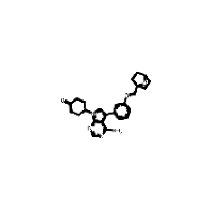 Nc1ncnc2c1c(-c1cccc(OCC34CCC(CC3)O4)c1)cn2C1CCC(=O)CC1